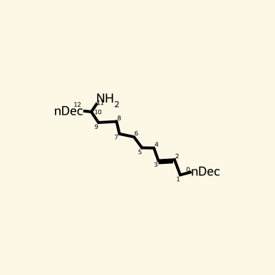 CCCCCCCCCCCC=CCCCCCCC(N)CCCCCCCCCC